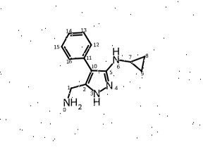 NCc1[nH]nc(NC2CC2)c1-c1ccccc1